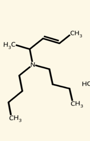 CC=CC(C)N(CCCC)CCCC.Cl